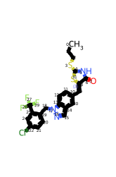 CCCSC1NC(=O)/C(=C/c2ccc3c(cnn3Cc3ccc(Cl)cc3C(F)(F)F)c2)S1